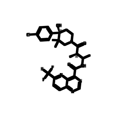 CC(NC(=O)c1ncnc2ccc(C(F)(F)F)nc12)[C@@H](C)C(=O)N1CC[C@](O)(c2ccc(Cl)cc2)C(C)(C)C1